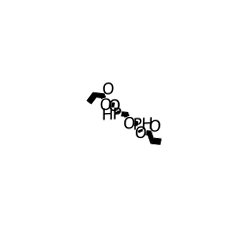 C=CC(=O)OOPCOPOC(=O)C=C